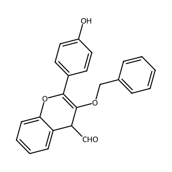 O=CC1C(OCc2ccccc2)=C(c2ccc(O)cc2)Oc2ccccc21